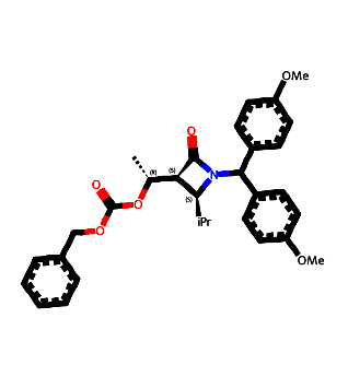 COc1ccc(C(c2ccc(OC)cc2)N2C(=O)[C@H]([C@@H](C)OC(=O)OCc3ccccc3)[C@@H]2C(C)C)cc1